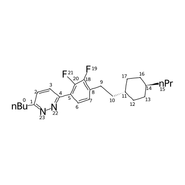 CCCCc1ccc(-c2ccc(CC[C@H]3CC[C@H](CCC)CC3)c(F)c2F)nn1